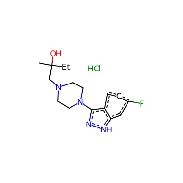 CCC(C)(O)CN1CCN(c2n[nH]c3cc(F)ccc23)CC1.Cl